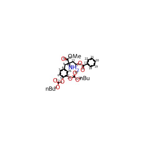 CCCCOC(=O)Oc1ccc(C[C@](N)(CCOC(=O)c2ccccc2)C(=O)OC)cc1OC(=O)OCCCC